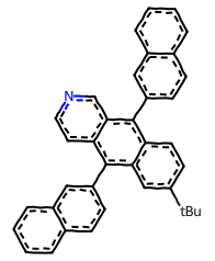 CC(C)(C)c1ccc2c(-c3ccc4ccccc4c3)c3cnccc3c(-c3ccc4ccccc4c3)c2c1